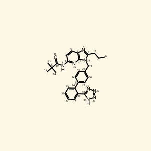 CCCc1nc2ccc(NC(=O)C(C)(C)C)nc2n1Cc1ccc(-c2ccccc2-c2nnn[nH]2)cc1